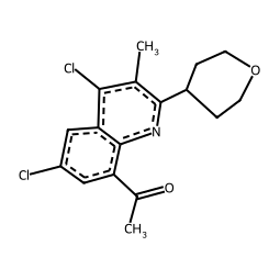 CC(=O)c1cc(Cl)cc2c(Cl)c(C)c(C3CCOCC3)nc12